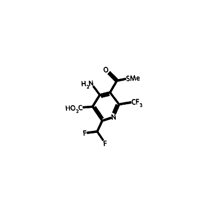 CSC(=O)c1c(C(F)(F)F)nc(C(F)F)c(C(=O)O)c1N